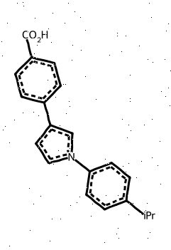 CC(C)c1ccc(-n2ccc(-c3ccc(C(=O)O)cc3)c2)cc1